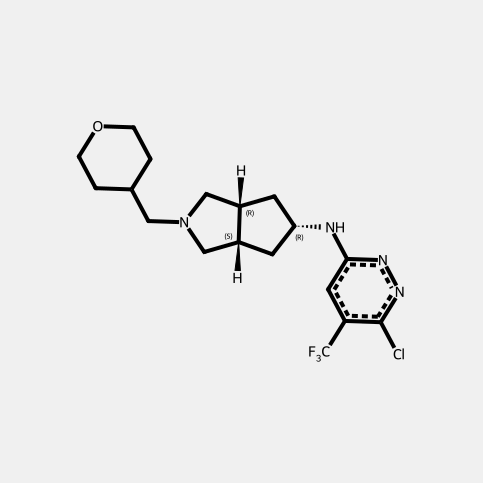 FC(F)(F)c1cc(N[C@@H]2C[C@@H]3CN(CC4CCOCC4)C[C@@H]3C2)nnc1Cl